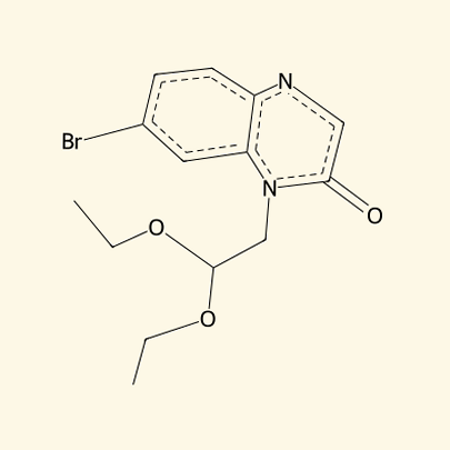 CCOC(Cn1c(=O)cnc2ccc(Br)cc21)OCC